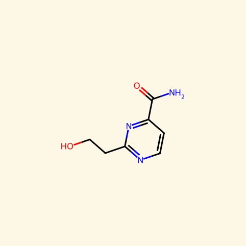 NC(=O)c1ccnc(CCO)n1